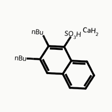 CCCCc1cc2ccccc2c(S(=O)(=O)O)c1CCCC.[CaH2]